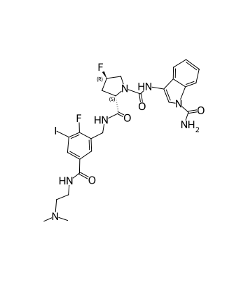 CN(C)CCNC(=O)c1cc(I)c(F)c(CNC(=O)[C@@H]2C[C@@H](F)CN2C(=O)Nc2cn(C(N)=O)c3ccccc23)c1